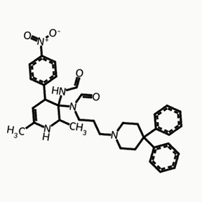 CC1=CC(c2ccc([N+](=O)[O-])cc2)C(NC=O)(N(C=O)CCCN2CCC(c3ccccc3)(c3ccccc3)CC2)C(C)N1